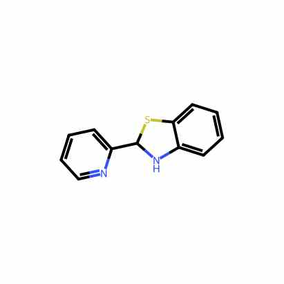 c1ccc(C2Nc3ccccc3S2)nc1